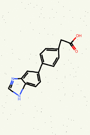 O=C(O)Cc1ccc(-c2ccc3[nH]cnc3c2)cc1